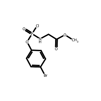 COC(=O)CNP(=O)(Cl)Oc1ccc(Br)cc1